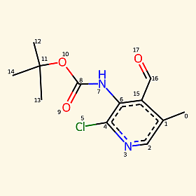 Cc1cnc(Cl)c(NC(=O)OC(C)(C)C)c1C=O